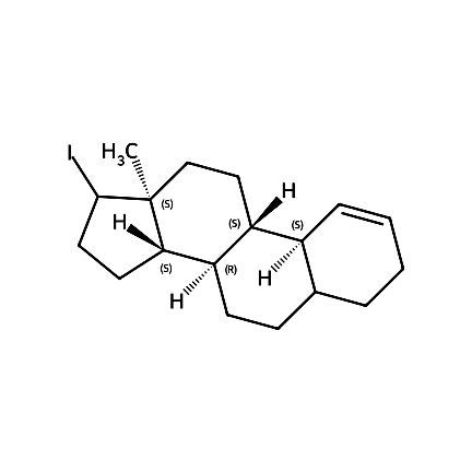 C[C@]12CC[C@H]3[C@@H](CCC4CCC=C[C@@H]43)[C@@H]1CCC2I